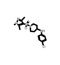 Cc1nn(C)c(C)c1S(=O)(=O)N1CCC(Nc2ccc(Cl)cc2)CC1